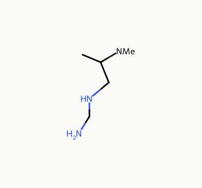 CNC(C)CNCN